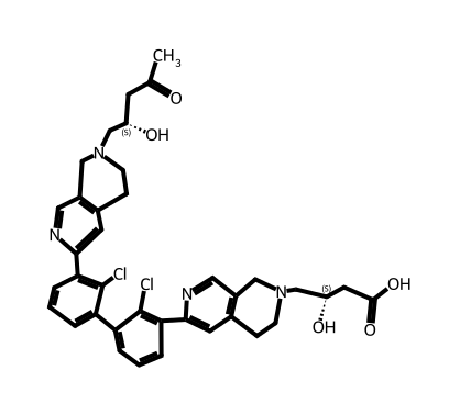 CC(=O)C[C@H](O)CN1CCc2cc(-c3cccc(-c4cccc(-c5cc6c(cn5)CN(C[C@@H](O)CC(=O)O)CC6)c4Cl)c3Cl)ncc2C1